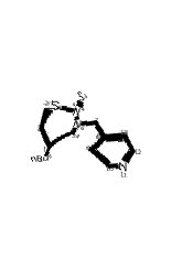 CCCCC1CS[N+](=S)N(Cc2ccncc2)C1